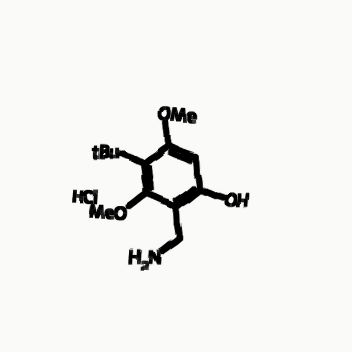 COc1cc(O)c(CN)c(OC)c1C(C)(C)C.Cl